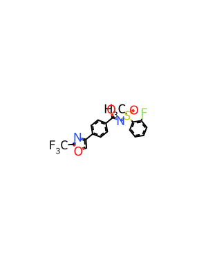 CS(=O)(=NC(=O)c1ccc(-c2coc(C(F)(F)F)n2)cc1)c1ccccc1F